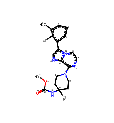 CCc1c(C)cccc1-c1cnc2c(N3CCC(C)(NC(=O)OC(C)(C)C)CC3)nccn12